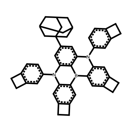 c1cc2c(cc1N1c3cc4c(cc3B3c5cc6c(cc5N(c5ccc7c(c5)CC7)c5cc(C78CC9CC(CC(C9)C7)C8)cc1c53)CC6)CC4)CC2